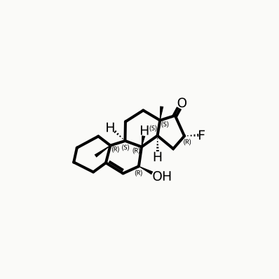 C[C@]12CCCCC1=C[C@H](O)[C@@H]1[C@@H]2CC[C@]2(C)C(=O)[C@H](F)C[C@@H]12